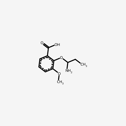 CCC(N)Oc1c(OC)cccc1C(=O)O